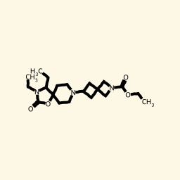 CCOC(=O)N1CC2(CC(N3CCC4(CC3)OC(=O)N(CC)C4CC)C2)C1